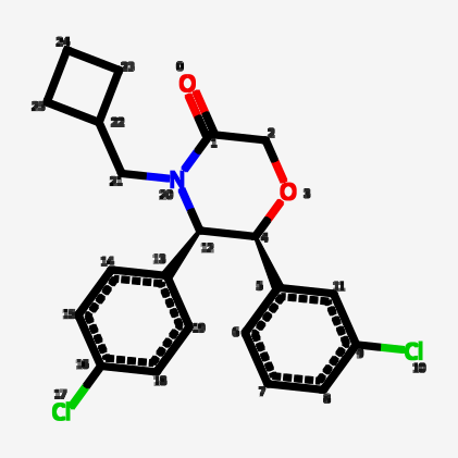 O=C1CO[C@@H](c2cccc(Cl)c2)[C@@H](c2ccc(Cl)cc2)N1CC1CCC1